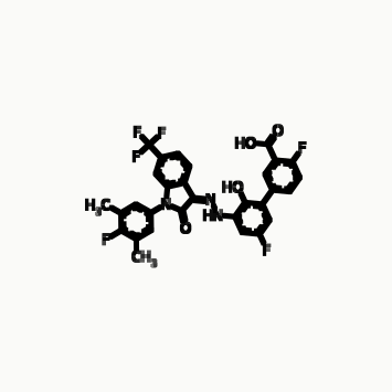 Cc1cc(N2C(=O)/C(=N\Nc3cc(F)cc(-c4ccc(F)c(C(=O)O)c4)c3O)c3ccc(C(F)(F)F)cc32)cc(C)c1F